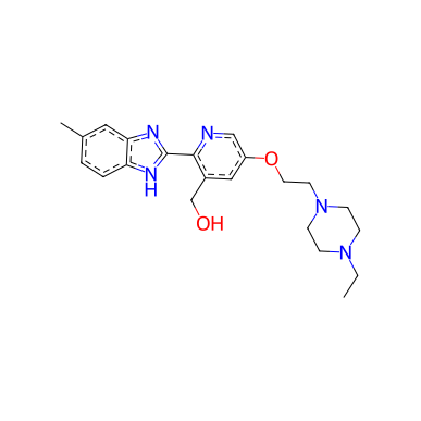 CCN1CCN(CCOc2cnc(-c3nc4cc(C)ccc4[nH]3)c(CO)c2)CC1